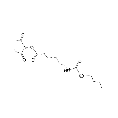 CCCCOC(=O)NCCCCCC(=O)ON1C(=O)CCC1=O